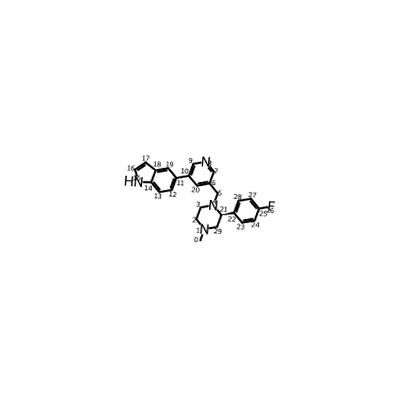 CN1CCN(Cc2cncc(-c3ccc4[nH]ccc4c3)c2)[C@@H](c2ccc(F)cc2)C1